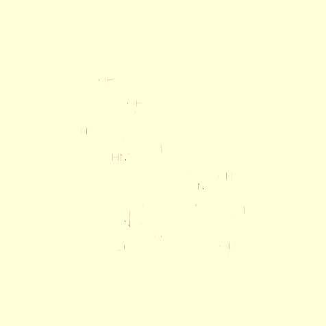 CCNC(=O)c1c(I)c(NC(=O)C(O)C(O)CO)c(I)c(C(=O)N(C)CC(O)CO)c1I